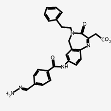 NN=Cc1ccc(C(=O)Nc2ccc3c(c2)CN(CCc2ccccc2)C(=O)C(CC(=O)O)=N3)cc1